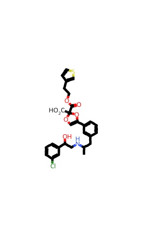 CC(Cc1cccc(C2=COC(C(=O)O)(C(=O)OCCc3ccsc3)O2)c1)NCC(O)c1cccc(Cl)c1